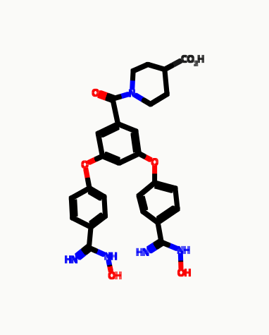 N=C(NO)c1ccc(Oc2cc(Oc3ccc(C(=N)NO)cc3)cc(C(=O)N3CCC(C(=O)O)CC3)c2)cc1